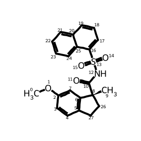 COc1ccc2c(c1)[C@](C)(C(=O)NS(=O)(=O)c1cccc3ccccc13)CC2